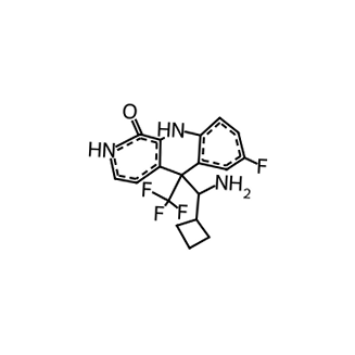 NC(C1CCC1)C1(C(F)(F)F)c2cc(F)ccc2Nc2c1cc[nH]c2=O